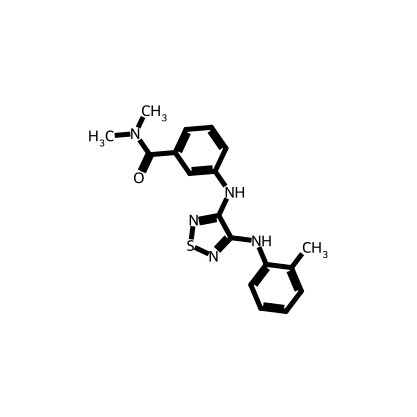 Cc1ccccc1Nc1nsnc1Nc1cccc(C(=O)N(C)C)c1